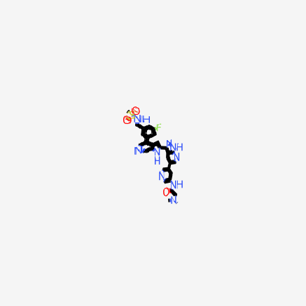 CN(C)CC(=O)Nc1cncc(-c2cnc3[nH]nc(-c4cc5c(-c6cc(F)cc(CNS(C)(=O)=O)c6)cncc5[nH]4)c3c2)c1